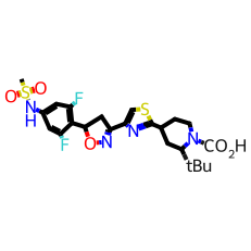 CC(C)(C)C1CC(c2nc(C3=NOC(c4c(F)cc(NS(C)(=O)=O)cc4F)C3)cs2)CCN1C(=O)O